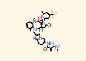 C=C(CN(C)C)C(=O)N[C@@H]1CCc2nc(CN3C[C@H]4CC(=O)N(c5cc(C(F)(F)F)cc(C)n5)[C@@H]4C(=O)N(C)c4cccc(C)c43)cn2C1